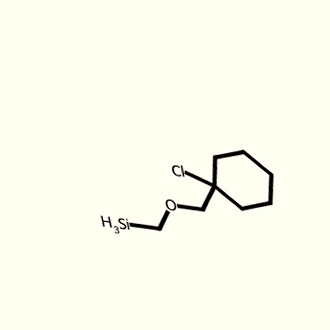 [SiH3]COCC1(Cl)CCCCC1